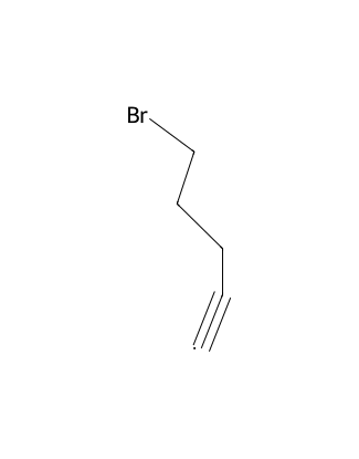 [C]#CCCCBr